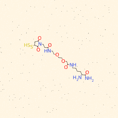 NC(=O)C(N)CCCCNC(=O)COCCOCCNC(=O)CCN1C(=O)CC(SS)C1=O